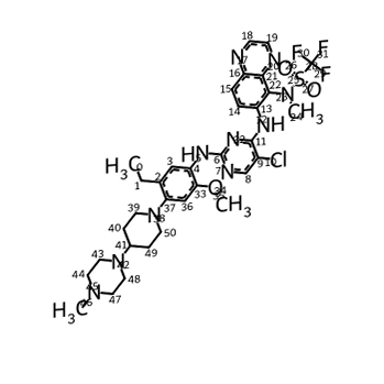 CCc1cc(Nc2ncc(Cl)c(Nc3ccc4nccnc4c3N(C)S(=O)(=O)C(F)(F)F)n2)c(OC)cc1N1CCC(N2CCN(C)CC2)CC1